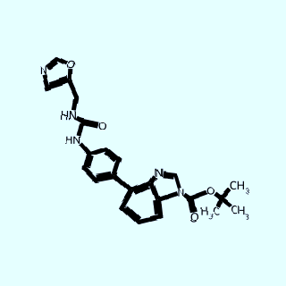 CC(C)(C)OC(=O)n1cnc2c(-c3ccc(NC(=O)NCc4cnco4)cc3)cccc21